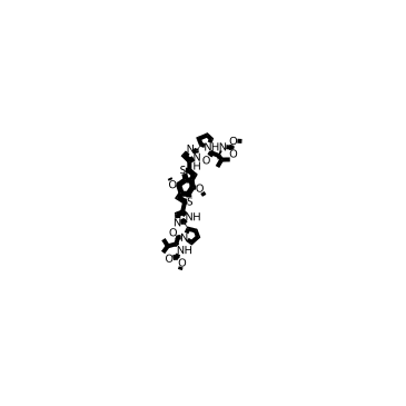 COC(=O)NC(C(=O)N1CCC[C@H]1c1ncc(-c2cc3c(OC)c4sc(-c5cnc([C@@H]6CCCN6C(=O)[C@@H](NC(=O)OC)C(C)C)[nH]5)cc4c(OC)c3s2)[nH]1)C(C)C